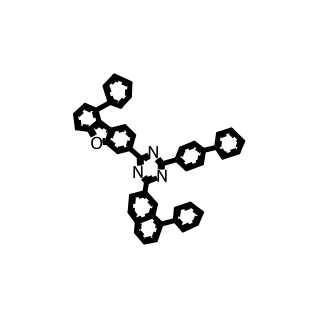 c1ccc(-c2ccc(-c3nc(-c4ccc5c(c4)oc4cccc(-c6ccccc6)c45)nc(-c4ccc5cccc(-c6ccccc6)c5c4)n3)cc2)cc1